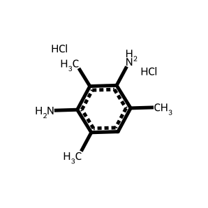 Cc1cc(C)c(N)c(C)c1N.Cl.Cl